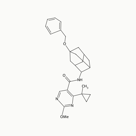 COc1ncc(C(=O)NC2C3CC4CC2CC(OCc2ccccc2)(C4)C3)c(C2(C)CC2)n1